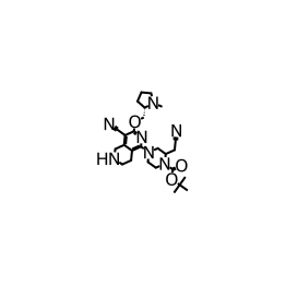 CN1CCC[C@H]1COc1nc(N2CCN(C(=O)OC(C)(C)C)C(CC#N)C2)c2c(c1C#N)CNCC2